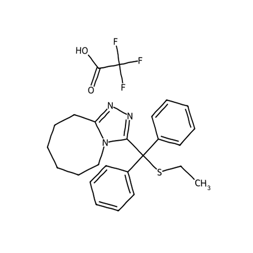 CCSC(c1ccccc1)(c1ccccc1)c1nnc2n1CCCCCC2.O=C(O)C(F)(F)F